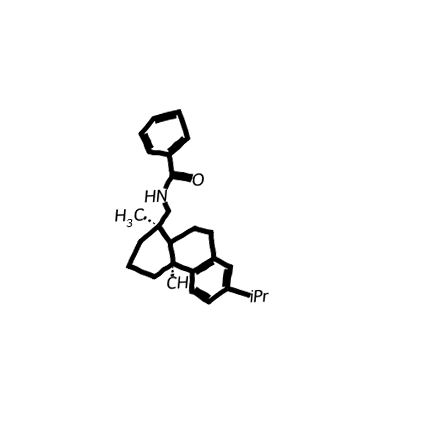 CC(C)c1ccc2c(c1)CCC1[C@](C)(CNC(=O)c3ccccc3)CCC[C@]21C